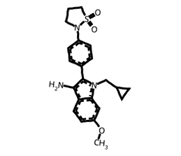 COc1ccc2c(N)c(-c3ccc(N4CCCS4(=O)=O)cc3)n(CC3CC3)c2c1